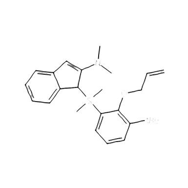 C=CCOc1c(C(C)(C)C)cccc1[Si](C)(C)C1C(N(C)C)=Cc2ccccc21